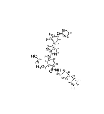 CCc1cc(Nc2nccn3c(-c4ccc(Oc5ncccn5)c(F)c4F)cnc23)ccc1C(=O)NCC1CCN(CC2CCNC2)CC1.O=CO